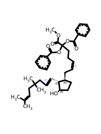 COC(=O)C(CC/C=C\C[C@H]1CC[C@@H](O)[C@@H]1/C=C/CC(C)(C)CC=C(C)C)(OC(=O)c1ccccc1)OC(=O)c1ccccc1